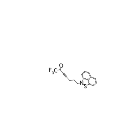 O=C(C#CCCCN1Sc2cccc3cccc1c23)C(F)(F)F